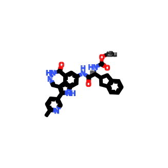 Cc1ccc(-c2[nH]c3cc(NC(=O)[C@H](NC(=O)OC(C)(C)C)C4Cc5ccccc5C4)cc4c3c2C=NNC4=O)cn1